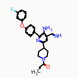 C=CC(=O)N1CCC(c2cc(C=N)c(N)c(-c3ccc(Oc4cccc(F)c4)cc3)n2)CC1